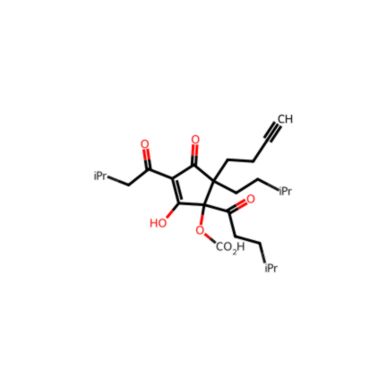 C#CCCC1(CCC(C)C)C(=O)C(C(=O)CC(C)C)=C(O)C1(OC(=O)O)C(=O)CCC(C)C